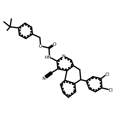 CC(C)(C)c1ccc(COC(=O)Nc2ncc3c(c2C#N)-c2ccccc2C(c2ccc(Cl)c(Cl)c2)C3)cc1